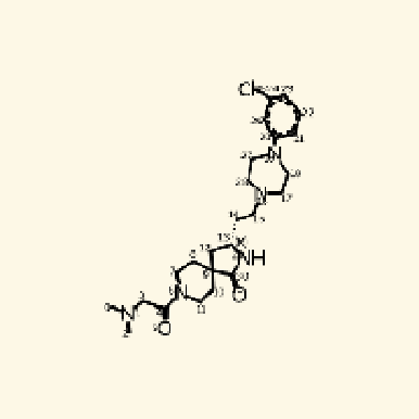 CN(C)CC(=O)N1CCC2(CC1)C[C@H](CCN1CCN(c3cccc(Cl)c3)CC1)NC2=O